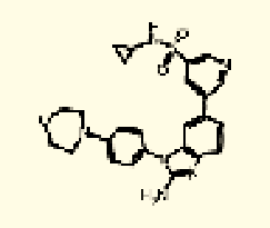 Nc1nc2ccc(-c3cncc(S(=O)(=O)NC4CC4)c3)cc2n1-c1ccc(N2CCOCC2)cc1